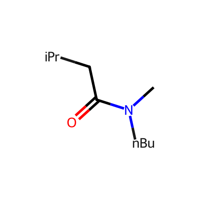 CCCCN(C)C(=O)CC(C)C